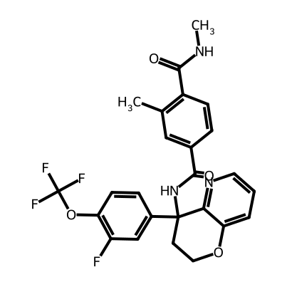 CNC(=O)c1ccc(C(=O)NC2(c3ccc(OC(F)(F)F)c(F)c3)CCOc3cccnc32)cc1C